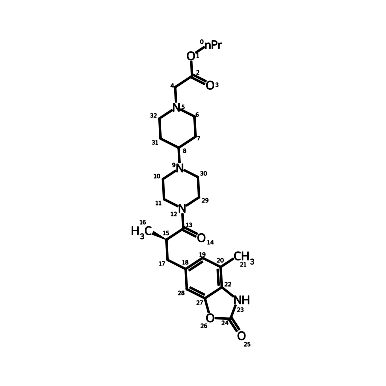 CCCOC(=O)CN1CCC(N2CCN(C(=O)[C@H](C)Cc3cc(C)c4[nH]c(=O)oc4c3)CC2)CC1